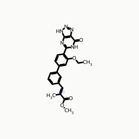 CCOc1cc(-c2cccc(/C=C(\C)C(=O)OC)c2)ccc1-c1nc2[nH]nnc2c(=O)[nH]1